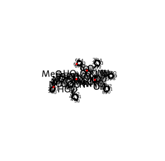 COC(=O)C1O[C@@H](O[C@@H]2C(CO)O[C@@H](O[C@H]3C(C(=O)OC)O[C@@H](O[C@@H]4C(CO)O[C@H](OC)C(N=[N+]=[N-])[C@@H]4OCc4ccccc4)C(O)[C@H]3OCc3ccccc3)C(N=[N+]=[N-])[C@H]2O)C(OCc2ccccc2)[C@H](OCc2ccccc2)[C@@H]1O[C@H]1OC(CO)[C@@H](OCc2ccccc2)[C@@H](OCc2ccccc2)C1N=[N+]=[N-]